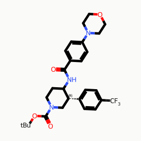 CC(C)(C)OC(=O)N1CCC(NC(=O)c2ccc(N3CCOCC3)cc2)[C@H](c2ccc(C(F)(F)F)cc2)C1